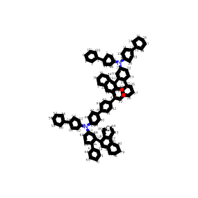 c1ccc(-c2ccc(N(c3ccc(-c4ccccc4)cc3)c3ccc(-c4ccccc4)c(-c4c5ccccc5cc5c(-c6ccc(-c7ccc(N(c8ccc(-c9ccccc9)cc8)c8ccc(-c9ccccc9)c(-c9cc%10ccccc%10c%10ccccc9%10)c8)cc7)cc6)cccc45)c3)cc2)cc1